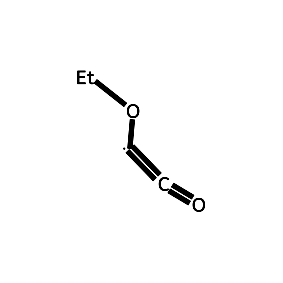 CCO[C]=C=O